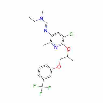 CCN(C)C=Nc1cc(Cl)c(OC(C)COc2cccc(C(F)(F)F)c2)nc1C